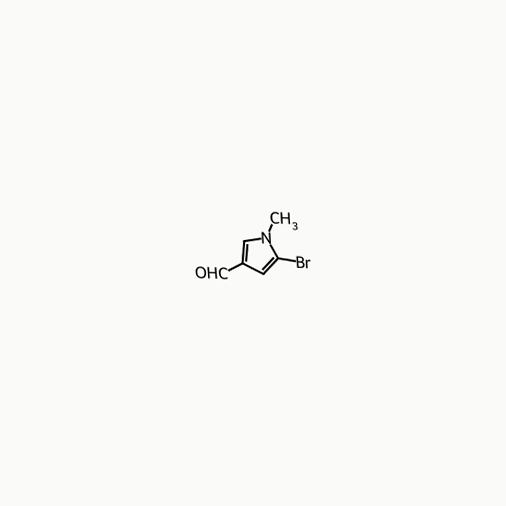 Cn1cc(C=O)cc1Br